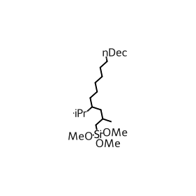 CCCCCCCCCCCCCCCCC(CC(C)C[Si](OC)(OC)OC)[C](C)C